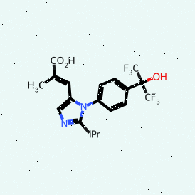 C/C(=C\c1cnc(C(C)C)n1-c1ccc(C(O)(C(F)(F)F)C(F)(F)F)cc1)C(=O)O